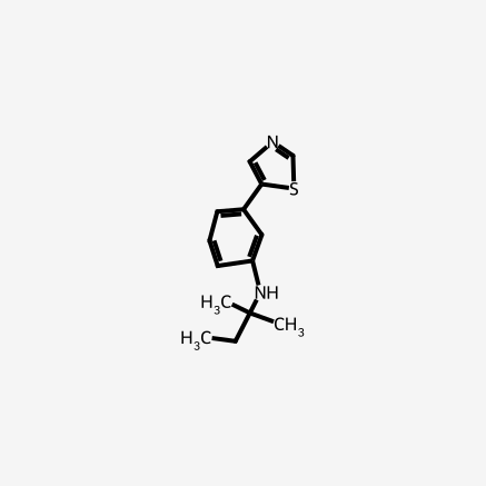 CCC(C)(C)Nc1cccc(-c2cncs2)c1